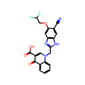 N#Cc1cc2[nH]c(Cn3cc(C(=O)O)c(=O)c4ccccc43)nc2cc1OCC(F)F